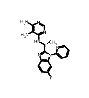 C[C@@H](Nc1ncnc(N)c1N)c1nc2ccc(F)cc2n1-c1ccccn1